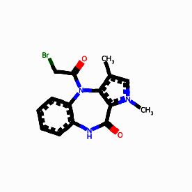 Cc1cn(C)c2c1N(C(=O)CBr)c1ccccc1NC2=O